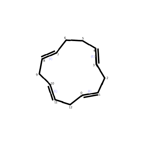 [C]1=C/C/C=C/CC/C=C/C/C=C/C/1